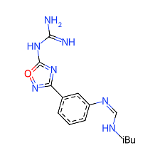 CCC(C)N/C=N\c1cccc(-c2noc(NC(=N)N)n2)c1